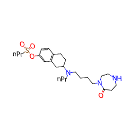 CCCN(CCCCN1CCNCCC1=O)C1CCc2ccc(OS(=O)(=O)CCC)cc2C1